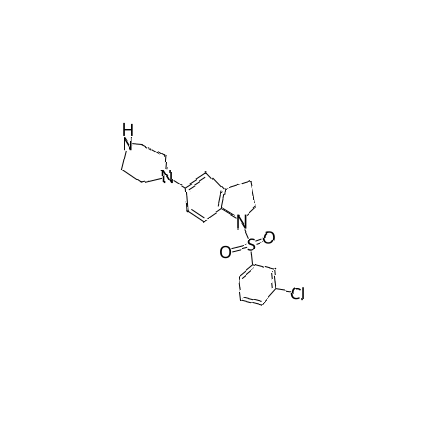 O=S(=O)(c1cccc(Cl)c1)N1CCc2cc(N3CCNCC3)ccc21